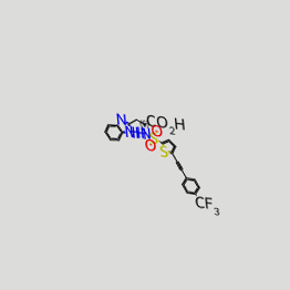 O=C(O)[C@H](Cc1nc2ccccc2[nH]1)NS(=O)(=O)c1ccc(C#Cc2ccc(C(F)(F)F)cc2)s1